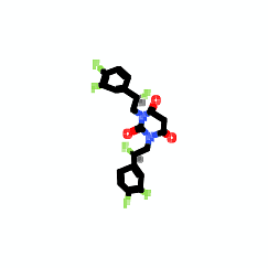 O=C1CC(=O)N(C[C@H](F)c2ccc(F)c(F)c2)C(=O)N1C[C@@H](F)c1ccc(F)c(F)c1